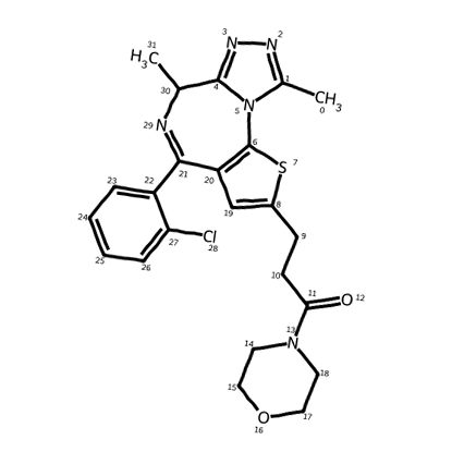 Cc1nnc2n1-c1sc(CCC(=O)N3CCOCC3)cc1C(c1ccccc1Cl)=NC2C